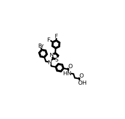 O=C(O)CCNC(=O)c1ccc(CN(Cc2ccc(Br)cc2)c2nc(-c3ccc(F)c(F)c3)cs2)cc1